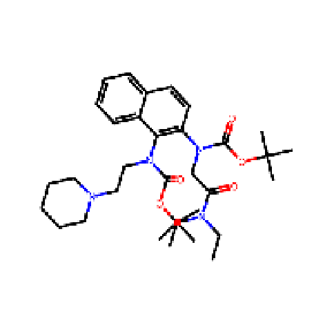 CCN(CC)C(=O)CN(C(=O)OC(C)(C)C)c1ccc2ccccc2c1N(CCN1CCCCC1)C(=O)OC(C)(C)C